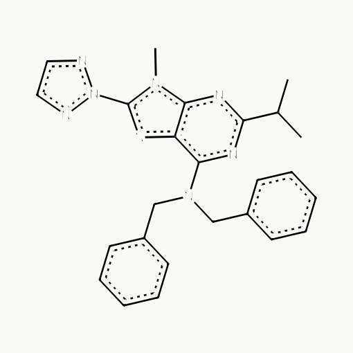 CC(C)c1nc(N(Cc2ccccc2)Cc2ccccc2)c2nc(-n3nccn3)n(C)c2n1